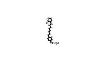 CCCCCCCc1ccc(CCCCCCCCC2CCCOC2=O)cc1